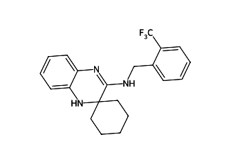 FC(F)(F)c1ccccc1CNC1=Nc2ccccc2NC12CCCCC2